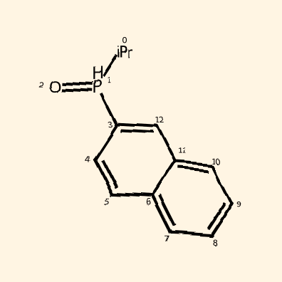 CC(C)[PH](=O)c1ccc2ccccc2c1